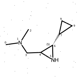 CN(C)CC1N[C@H]1C1CC1